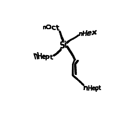 CCCCCCCC=C[Si](CCCCCC)(CCCCCCC)CCCCCCCC